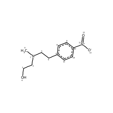 CN(CCO)CCc1ccc([N+](=O)[O-])cc1